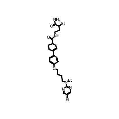 CCc1cnc(N(CC)CCCCOc2ccc(C3=CCC(C(=O)NCCC(CC)C(N)=O)CC3)cc2)nc1